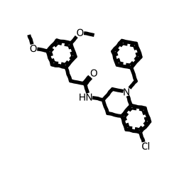 COc1cc(CC(=O)NC2Cc3cc(Cl)ccc3N(Cc3ccccc3)C2)cc(OC)c1